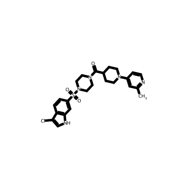 Cc1cc(N2CCC(C(=O)N3CCN(S(=O)(=O)c4ccc5c(Cl)c[nH]c5c4)CC3)CC2)ccn1